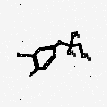 CCC(C)(C)Oc1ccc(F)c(Br)c1